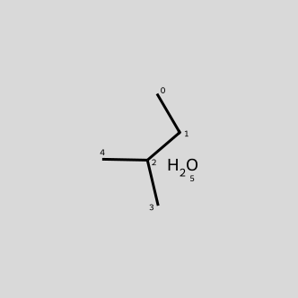 CCC(C)C.O